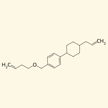 C=CCCOCc1ccc(C2CCC(CC=C)CC2)cc1